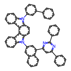 c1ccc(-c2cccc(-n3c4ccccc4c4c5c6ccccc6n(-c6cc(-c7cc(-c8ccccc8)nc(-c8ccccc8)n7)c7ccccc7c6)c5ccc43)c2)cc1